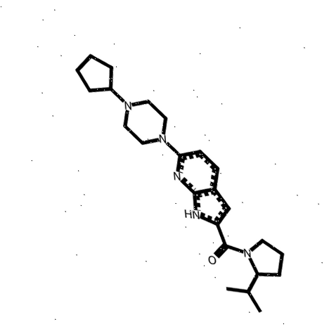 CC(C)C1CCCN1C(=O)c1cc2ccc(N3CCN(C4CCCC4)CC3)nc2[nH]1